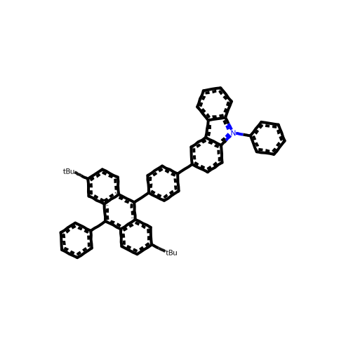 CC(C)(C)c1ccc2c(-c3ccc(-c4ccc5c(c4)c4ccccc4n5-c4ccccc4)cc3)c3cc(C(C)(C)C)ccc3c(-c3ccccc3)c2c1